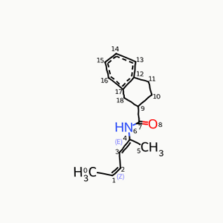 C/C=C\C=C(/C)NC(=O)C1CCc2ccccc2C1